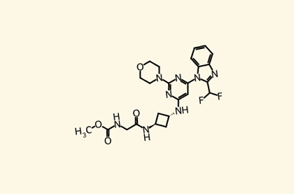 COC(=O)NCC(=O)N[C@H]1C[C@H](Nc2cc(-n3c(C(F)F)nc4ccccc43)nc(N3CCOCC3)n2)C1